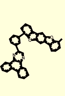 Cc1cccc2c1oc1cc3c(cc12)oc1c(-c2cccc(-c4cnc5c6ccccc6c6ccccc6c5n4)c2)cccc13